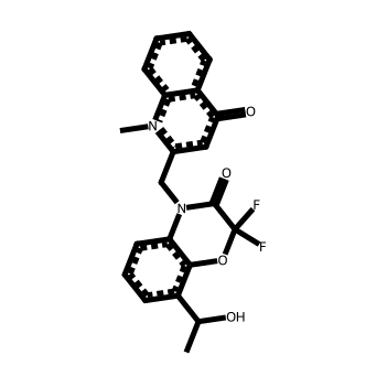 CC(O)c1cccc2c1OC(F)(F)C(=O)N2Cc1cc(=O)c2ccccc2n1C